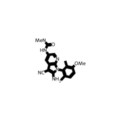 CNC(=O)Nc1cnc2c(c1)c(C#N)c(N)n2-c1c(C)ccc(OC)c1C